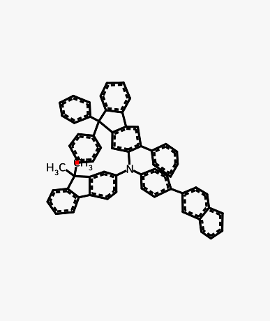 CC1(C)c2ccccc2-c2ccc(N(c3ccc(-c4ccc5ccccc5c4)cc3)c3cc4c(cc3-c3ccccc3)-c3ccccc3C4(c3ccccc3)c3ccccc3)cc21